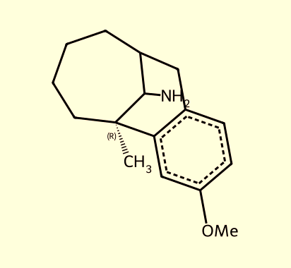 COc1ccc2c(c1)[C@@]1(C)CCCCC(C2)C1N